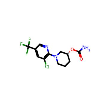 NC(=O)O[C@@H]1CCCN(c2ncc(C(F)(F)F)cc2Cl)C1